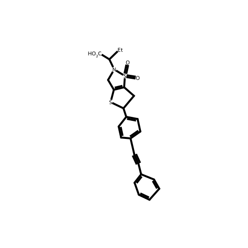 CCC(C(=O)O)N1CC2=C(CC(c3ccc(C#Cc4ccccc4)cc3)S2)S1(=O)=O